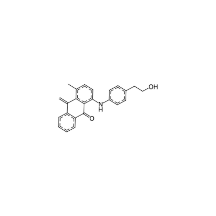 C=C1c2ccccc2C(=O)c2c(Nc3ccc(CCO)cc3)ccc(C)c21